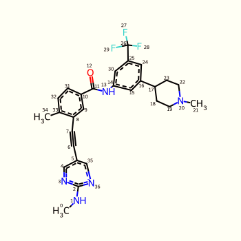 CNc1ncc(C#Cc2cc(C(=O)Nc3cc(C4CCN(C)CC4)cc(C(F)(F)F)c3)ccc2C)cn1